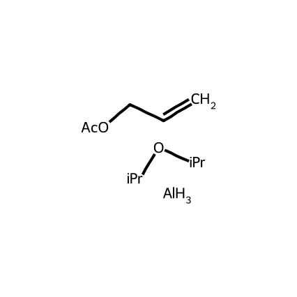 C=CCOC(C)=O.CC(C)OC(C)C.[AlH3]